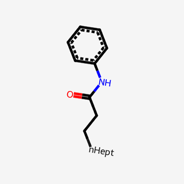 CCCCCCCCCC(=O)Nc1ccccc1